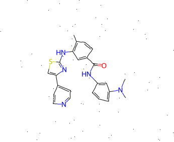 Cc1ccc(C(=O)Nc2cccc(N(C)C)c2)cc1Nc1nc(-c2ccncc2)cs1